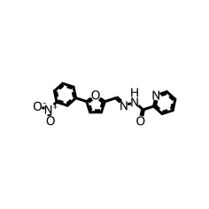 O=C(N/N=C/c1ccc(-c2cccc([N+](=O)[O-])c2)o1)c1ccccn1